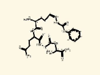 CC[C@@H](C)[C@H](NC(=O)C(CCC(N)=O)NC(=O)C(CC/C=N\NC(=O)Nc1ccccc1)NC(C)=O)C(=O)NC(C(N)=O)C(C)C